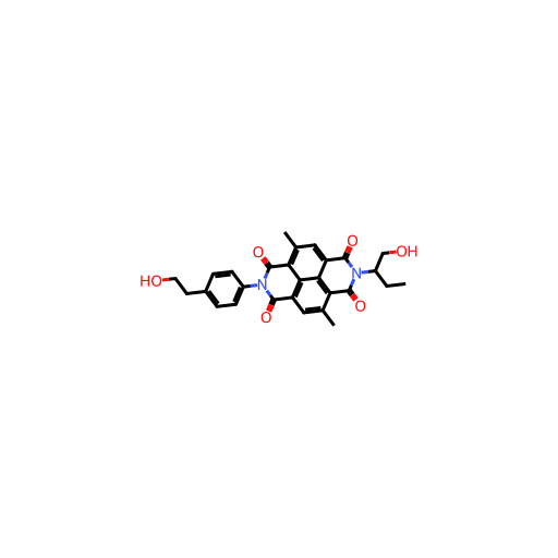 CCC(CO)N1C(=O)c2cc(C)c3c4c(cc(C)c(c24)C1=O)C(=O)N(c1ccc(CCO)cc1)C3=O